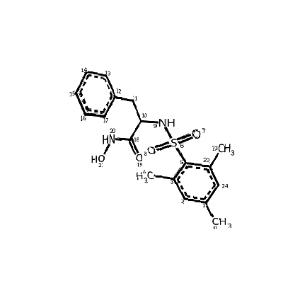 Cc1cc(C)c(S(=O)(=O)NC(Cc2ccccc2)C(=O)NO)c(C)c1